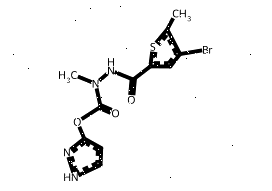 Cc1sc(C(=O)NN(C)C(=O)Oc2cc[nH]n2)cc1Br